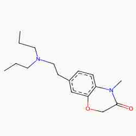 CCCN(CCC)CCc1ccc2c(c1)OCC(=O)N2C